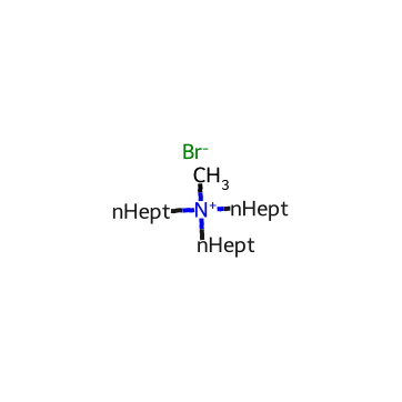 CCCCCCC[N+](C)(CCCCCCC)CCCCCCC.[Br-]